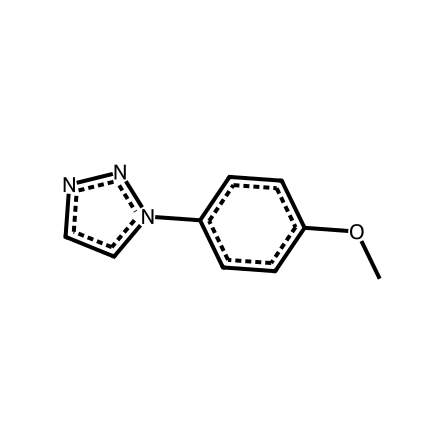 COc1ccc(-n2ccnn2)cc1